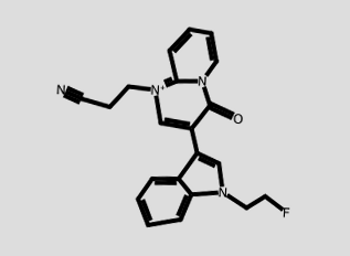 N#CCC[n+]1cc(-c2cn(CCF)c3ccccc23)c(=O)n2ccccc21